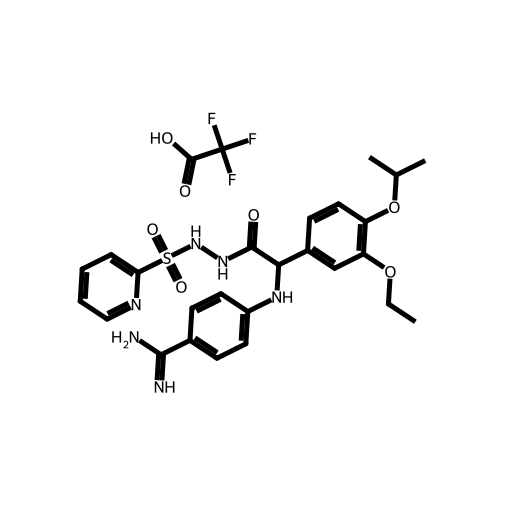 CCOc1cc(C(Nc2ccc(C(=N)N)cc2)C(=O)NNS(=O)(=O)c2ccccn2)ccc1OC(C)C.O=C(O)C(F)(F)F